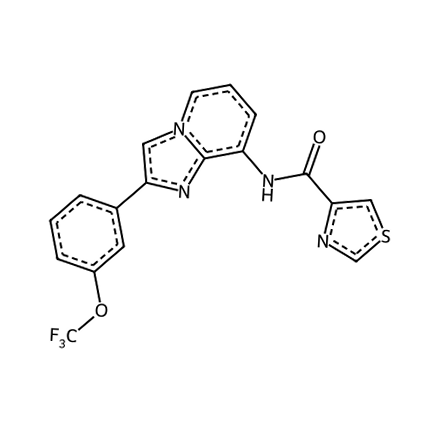 O=C(Nc1cccn2cc(-c3cccc(OC(F)(F)F)c3)nc12)c1cscn1